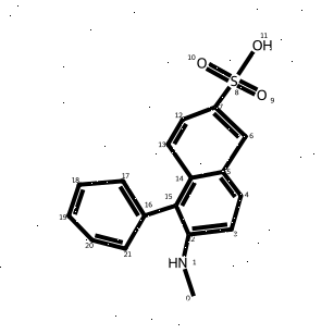 CNc1ccc2cc(S(=O)(=O)O)ccc2c1-c1ccccc1